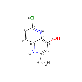 O=C(O)c1cc(O)c2nc(Cl)ccc2n1